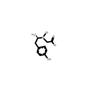 CCC(=O)CN(CC)[C@H](C)Cc1ccc(O)cc1